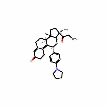 COCC(=O)[C@@]1(OC)CC[C@H]2[C@@H]3CCC4=CC(=O)CCC4=C3[C@@H](c3ccc(N4CCCC4)cc3)C[C@@]21C